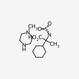 CC(N=S(=O)=O)(C(=O)O)C1CCCCC1.CN1CCNCC1